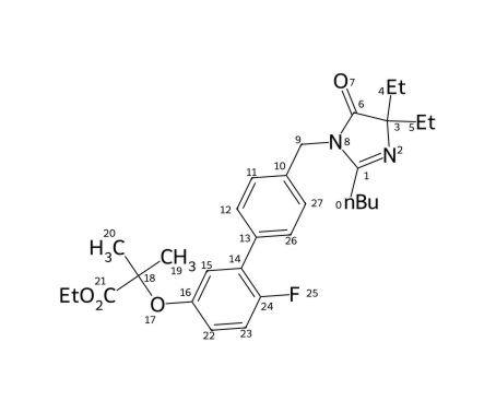 CCCCC1=NC(CC)(CC)C(=O)N1Cc1ccc(-c2cc(OC(C)(C)C(=O)OCC)ccc2F)cc1